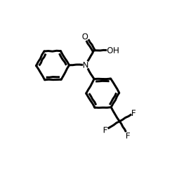 O=C(O)N(c1ccccc1)c1ccc(C(F)(F)F)cc1